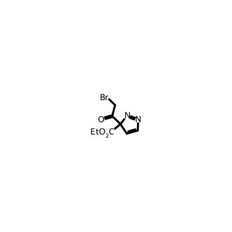 CCOC(=O)C1(C(=O)CBr)C=CN=N1